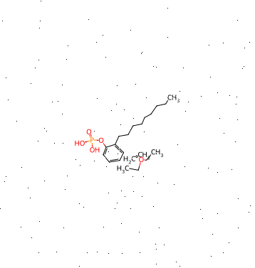 C=C.CCCCCCCCCc1ccccc1OP(=O)(O)O.CCOCC